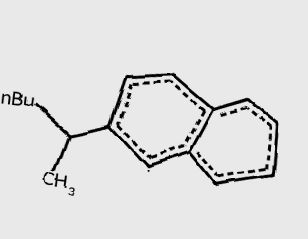 CCCCC(C)c1[c]c2ccccc2cc1